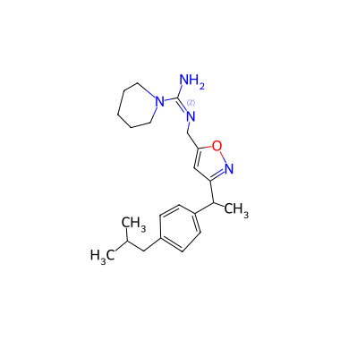 CC(C)Cc1ccc(C(C)c2cc(C/N=C(/N)N3CCCCC3)on2)cc1